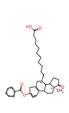 C[C@]12CCC3C4=C(CC(OC(=O)c5ccccc5)=C=C4)C[C@@H](CCCCCCCCCCC(=O)O)C3C1CCC2=O